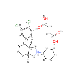 Clc1ccc([C@H]2CCC[C@H]3CN(C4CCCCC4)C[C@H]32)cc1Cl.O=C(O)/C=C/C(=O)O